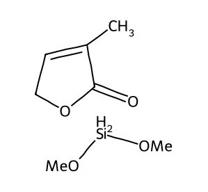 CC1=CCOC1=O.CO[SiH2]OC